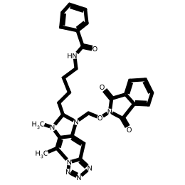 Cc1c2c(cc3nnnn13)N(CON1C(=O)c3ccccc3C1=O)C(CCCCNC(=O)c1ccccc1)N2C